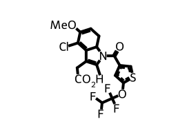 COC1=CCC2C(=C1Cl)C(CC(=O)O)=C(C)N2C(=O)c1csc(OC(F)(F)C(F)F)c1